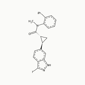 CC(C)c1ccccc1N(C)C(=O)[C@@H]1C[C@H]1c1ccc2c(I)n[nH]c2c1